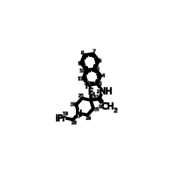 C=C(Nc1cc2ccccc2cn1)C1(F)CCN(CC(C)C)CC1